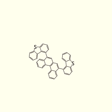 c1ccc2c(c1)sc1cccc(-c3cc4cc(-c5cccc6sc7ccccc7c56)c5ccccc5c4c4ccccc34)c12